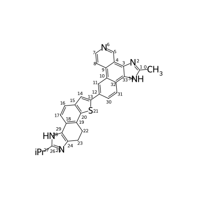 Cc1nc2c3cnccc3c3cc(-c4cc5ccc6c(c5s4)CCc4nc(C(C)C)[nH]c4-6)ccc3c2[nH]1